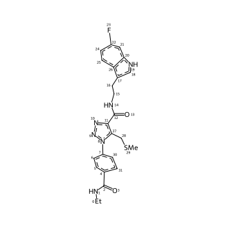 CCNC(=O)c1ccc(-n2nnc(C(=O)NCCc3c[nH]c4cc(F)ccc34)c2CSC)cc1